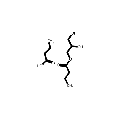 CCCC(=O)O.CCCC(=O)OCC(O)CO